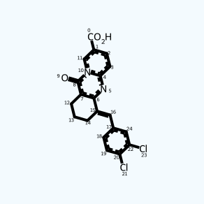 O=C(O)c1ccc2nc3c(c(=O)n2c1)CCCC3=Cc1ccc(Cl)c(Cl)c1